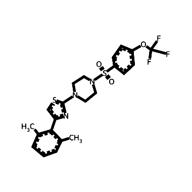 Cc1cccc(C)c1-c1csc(N2CCN(S(=O)(=O)c3ccc(OC(F)(F)F)cc3)CC2)n1